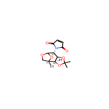 CC[C@@]12COC(O1)[C@H](N1C(=O)C=CC1=O)C1OC(C)(C)O[C@H]12